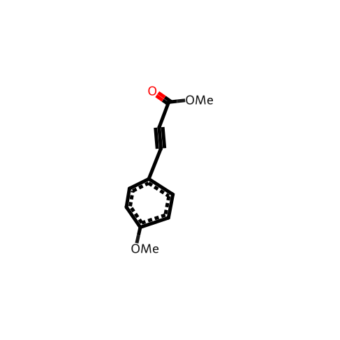 COC(=O)C#Cc1ccc(OC)cc1